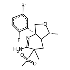 C[C@H]1OC[C@]2(c3cc(Br)ccc3F)N=C(N)C(C)(S(C)(=O)=O)CC12